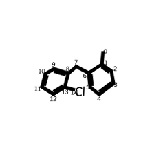 Cc1ccccc1Cc1ccccc1Cl